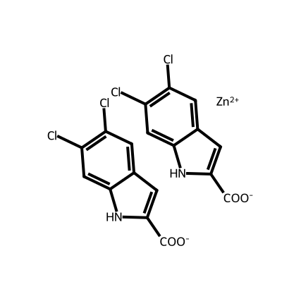 O=C([O-])c1cc2cc(Cl)c(Cl)cc2[nH]1.O=C([O-])c1cc2cc(Cl)c(Cl)cc2[nH]1.[Zn+2]